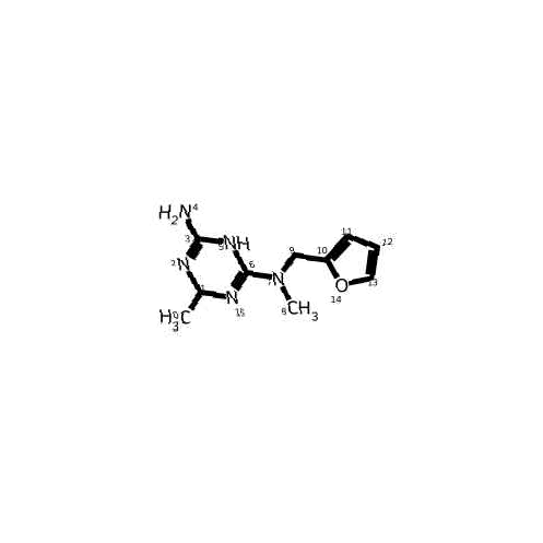 CC1N=C(N)NC(N(C)Cc2ccco2)=N1